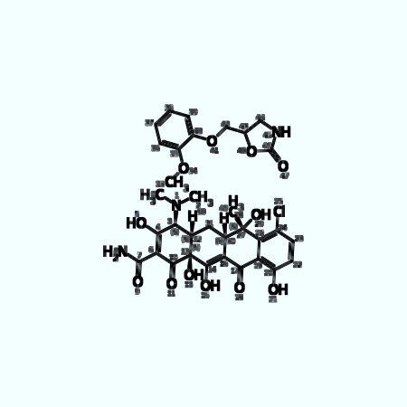 CN(C)[C@@H]1C(O)=C(C(N)=O)C(=O)[C@@]2(O)C(O)=C3C(=O)c4c(O)ccc(Cl)c4[C@@](C)(O)[C@H]3C[C@@H]12.COc1ccccc1OCC1CNC(=O)O1